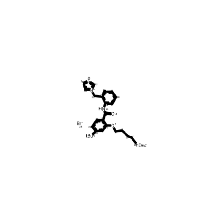 CCCCCCCCCCCCCCOc1cc(C(C)(C)C)ccc1C(=O)Nc1ccccc1C[n+]1ccsc1.[Br-]